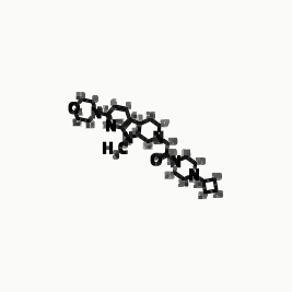 Cn1c2c(c3ccc(N4CCOCC4)nc31)CCN(CC(=O)N1CCN(C3CCC3)CC1)C2